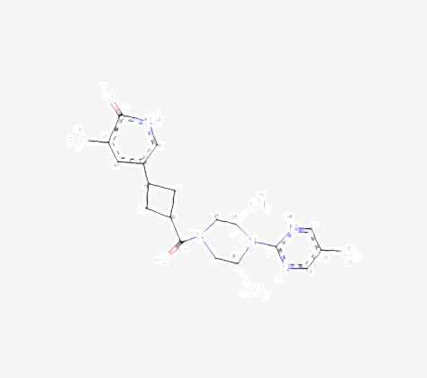 C[C@@H]1CN(C(=O)C2CC(c3c[nH]c(=O)c(C(F)(F)F)c3)C2)C[C@H](C)N1c1ncc(C(F)(F)F)cn1